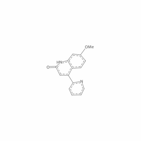 COc1ccc2c(-c3ccccn3)cc(=O)[nH]c2c1